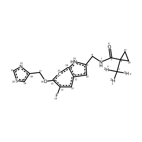 [2H]C([2H])([2H])C1(C(=O)NCc2cc3cc(F)c(OCc4cscn4)cc3[nH]2)CC1